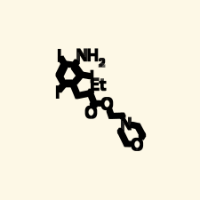 CCC(Cc1c(I)cc(I)c(N)c1I)C(=O)OCCN1CCOCC1